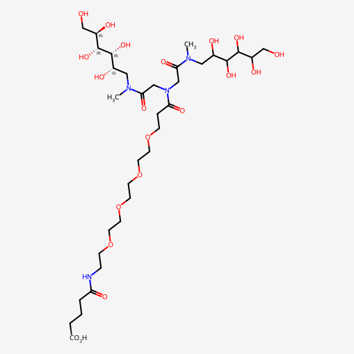 CN(CC(O)C(O)C(O)C(O)CO)C(=O)CN(CC(=O)N(C)C[C@H](O)[C@@H](O)[C@H](O)[C@H](O)CO)C(=O)CCOCCOCCOCCOCCNC(=O)CCCC(=O)O